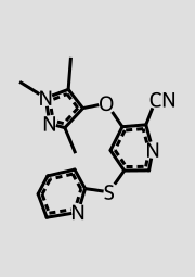 Cc1nn(C)c(C)c1Oc1cc(Sc2ccccn2)cnc1C#N